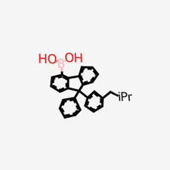 CC(C)Cc1cccc(C2(c3ccccc3)c3ccccc3-c3c(B(O)O)cccc32)c1